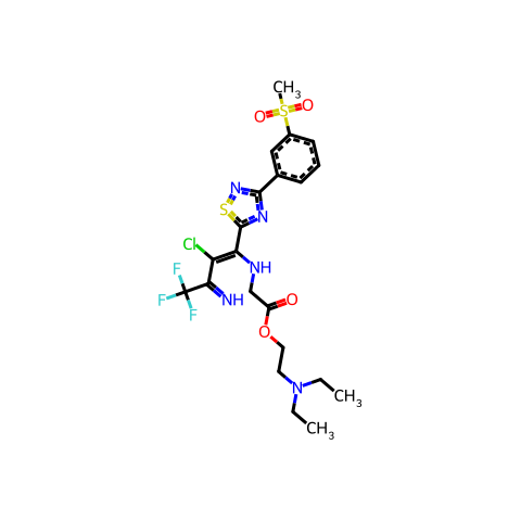 CCN(CC)CCOC(=O)CN/C(=C(/Cl)C(=N)C(F)(F)F)c1nc(-c2cccc(S(C)(=O)=O)c2)ns1